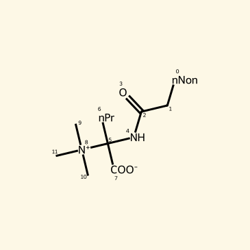 CCCCCCCCCCC(=O)NC(CCC)(C(=O)[O-])[N+](C)(C)C